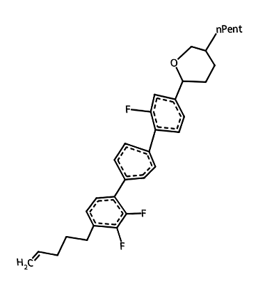 C=CCCCc1ccc(-c2ccc(-c3ccc(C4CCC(CCCCC)CO4)cc3F)cc2)c(F)c1F